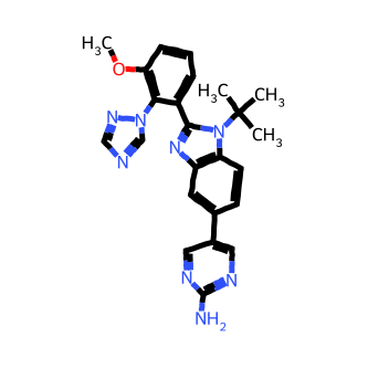 COc1cccc(-c2nc3cc(-c4cnc(N)nc4)ccc3n2C(C)(C)C)c1-n1cncn1